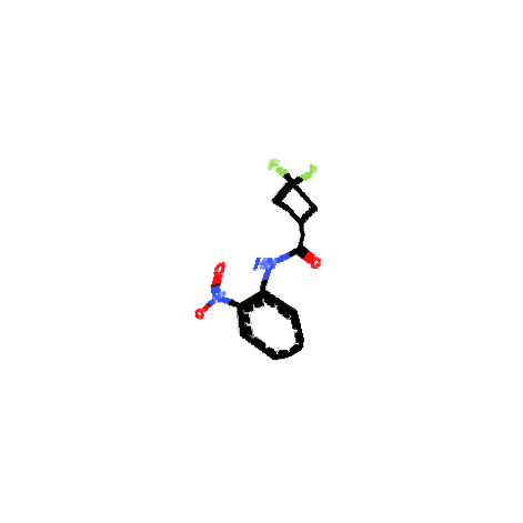 O=C(Nc1ccccc1[N+](=O)[O-])C1CC(F)(F)C1